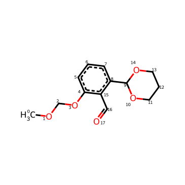 COCOc1cccc(C2OCCCO2)c1C=O